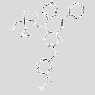 CNc1cccc(NC(=O)N[C@@H]2N=C(c3ccccn3)c3ccccc3N(CC(=O)C(C)(CO)C3CC3)C2=O)c1